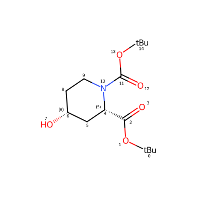 CC(C)(C)OC(=O)[C@@H]1C[C@H](O)CCN1C(=O)OC(C)(C)C